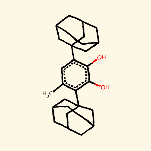 Cc1cc(C23CC4CC(CC(C4)C2)C3)c(O)c(O)c1C12CC3CC(CC(C3)C1)C2